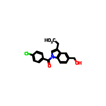 O=C(O)Cc1cn(C(=O)c2ccc(Cl)cc2)c2ccc(CO)cc12